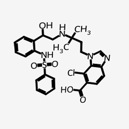 CC(C)(CCn1cnc2ccc(C(=O)O)c(Cl)c21)NCC(O)c1ccccc1NS(=O)(=O)c1ccccc1